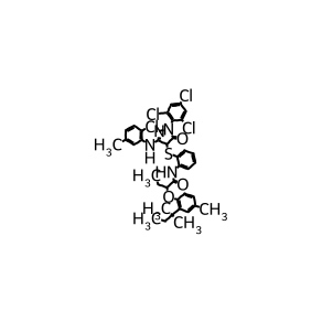 CCC(Oc1ccc(C)cc1C(C)(C)CC)C(=O)Nc1ccccc1SC1C(=O)N(c2c(Cl)cc(Cl)cc2Cl)N=C1Nc1cc(C)ccc1Cl